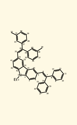 CCn1c2ccc(C=C(c3ccccc3)c3ccccc3)cc2c2cc(C=C(c3cccc(C)c3)c3cccc(C)c3)ccc21